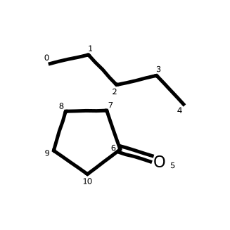 CCCCC.O=C1CCCC1